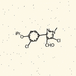 CC(C)Oc1ccc(-c2nn(C)c(Cl)c2C=O)cc1Cl